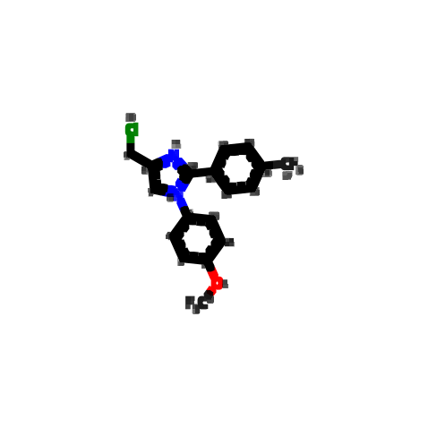 FC(F)(F)Oc1ccc(-n2cc(CCl)nc2-c2ccc(C(F)(F)F)cc2)cc1